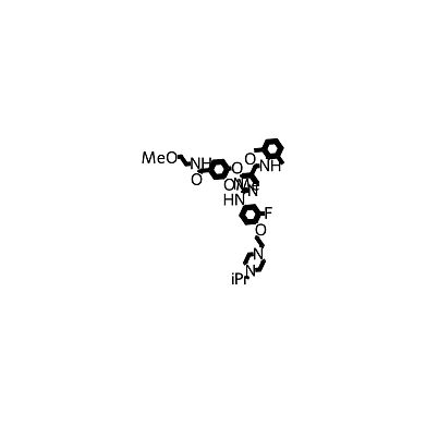 COCCNC(=O)c1ccc(Oc2nc(Nc3ccc(OCCN4CCN(C(C)C)CC4)c(F)c3)ncc2C(=O)Nc2c(C)cccc2C)c(OC)c1